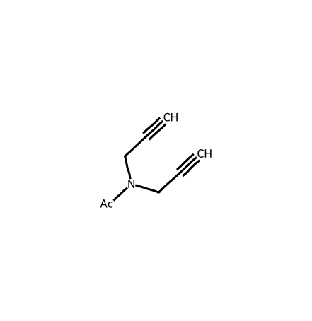 C#CCN(CC#C)C(C)=O